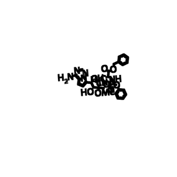 COC(C#N)(COP(=O)(N[C@@H](C)C(=O)OCc1ccccc1)Oc1ccccc1)[C@@H](O)[C@@H](O)c1ccc2c(N)ncnn12